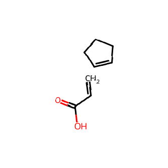 C1=CCCC1.C=CC(=O)O